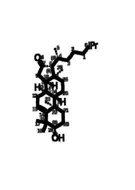 CC(C)CCC[C@@H](C)[C@H]1C(=O)C[C@H]2[C@@H]3CC=C4C(C)(C)[C@H](O)CC[C@]4(C)[C@H]3CC[C@]12C